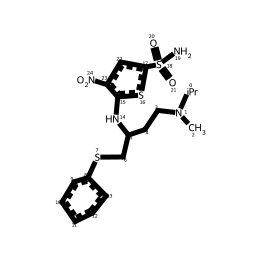 CC(C)N(C)CCC(CSc1ccccc1)Nc1sc(S(N)(=O)=O)cc1[N+](=O)[O-]